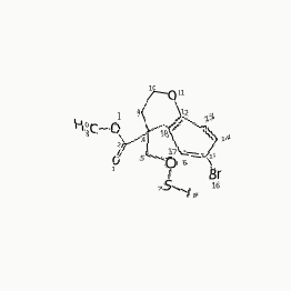 COC(=O)C1(COSI)CCOc2ccc(Br)cc21